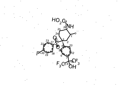 CC1C[C@](c2ccc(C(O)(C(F)(F)F)C(F)(F)F)cc2)(S(=O)(=O)c2ccc(F)cc2)CCC1NC(=O)O